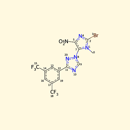 Cn1c(Br)nc([N+](=O)[O-])c1-n1cnc(-c2cc(C(F)(F)F)cc(C(F)(F)F)c2)n1